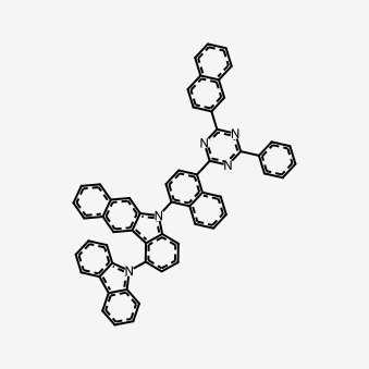 c1ccc(-c2nc(-c3ccc4ccccc4c3)nc(-c3ccc(-n4c5cc6ccccc6cc5c5c(-n6c7ccccc7c7ccccc76)cccc54)c4ccccc34)n2)cc1